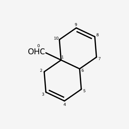 O=CC12CC=CCC1CC=CC2